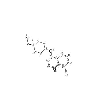 NC[C@H]1CC[C@H](Oc2ccnc3c(F)cccc23)CC1